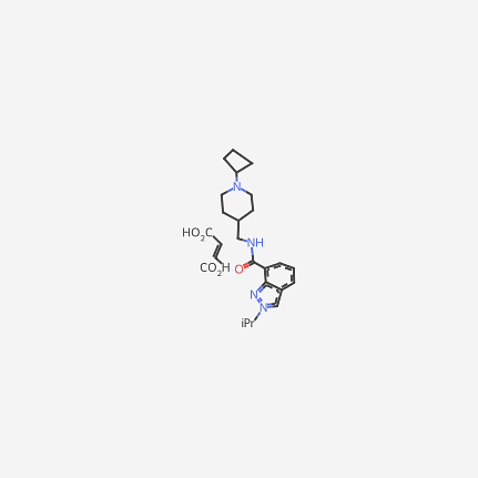 CC(C)n1cc2cccc(C(=O)NCC3CCN(C4CCC4)CC3)c2n1.O=C(O)C=CC(=O)O